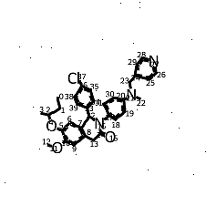 CCC(C)Oc1cc2c(cc1OC)CC(=O)N(c1ccc(N(C)Cc3ccncc3)cc1)C2c1ccc(Cl)cc1